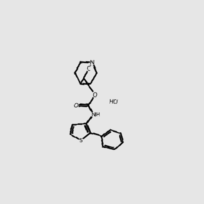 Cl.O=C(Nc1ccsc1-c1ccccc1)OC1CN2CCC1CC2